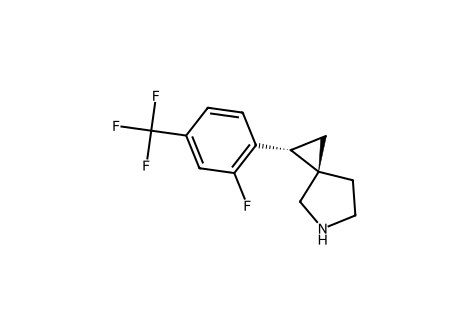 Fc1cc(C(F)(F)F)ccc1[C@@H]1C[C@]12CCNC2